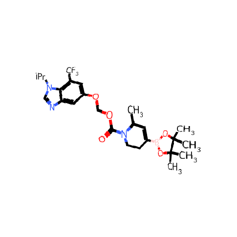 CC1C=C(B2OC(C)(C)C(C)(C)O2)CCN1C(=O)OCOc1cc(C(F)(F)F)c2c(c1)ncn2C(C)C